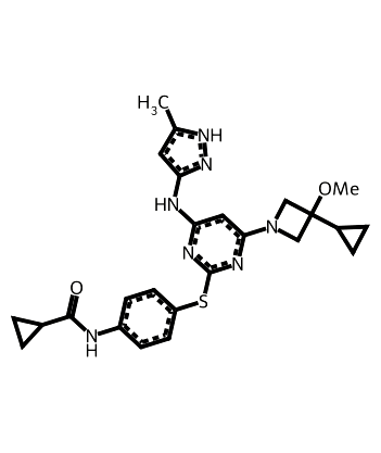 COC1(C2CC2)CN(c2cc(Nc3cc(C)[nH]n3)nc(Sc3ccc(NC(=O)C4CC4)cc3)n2)C1